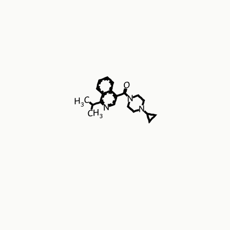 CC(C)c1ncc(C(=O)N2CCN(C3CC3)CC2)c2ccccc12